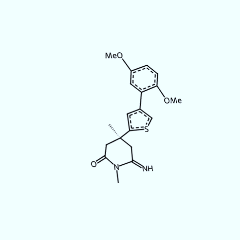 COc1ccc(OC)c(-c2csc([C@@]3(C)CC(=N)N(C)C(=O)C3)c2)c1